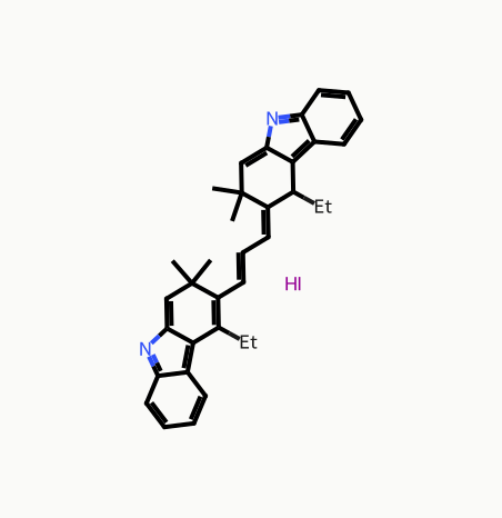 CCC1=C(C=CC=C2C(CC)C3=c4ccccc4=NC3=CC2(C)C)C(C)(C)C=C2N=c3ccccc3=C21.I